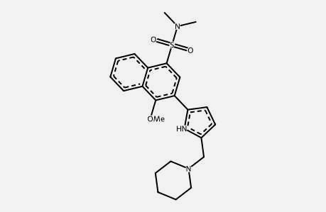 COc1c(-c2ccc(CN3CCCCC3)[nH]2)cc(S(=O)(=O)N(C)C)c2ccccc12